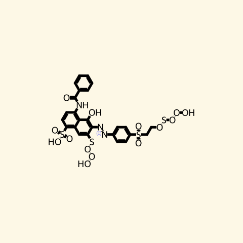 O=C(Nc1ccc(S(=O)(=O)O)c2cc(SOOO)c(/N=N/c3ccc(S(=O)(=O)CCOSOOO)cc3)c(O)c12)c1ccccc1